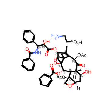 CC(=O)O[C@H]1C(=O)[C@@]2(C)[C@H]([C@H](OC(=O)c3ccccc3)[C@]3(O)C[C@H](OC(=O)[C@H](O)[C@@H](NC(=O)c4ccccc4)c4ccccc4)C(C)=C1C3(C)C)[C@]1(OC(C)=O)CO[C@@H]1C[C@@H]2O.NCCS(=O)(=O)O